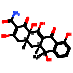 C[C@]1(O)c2cccc(O)c2C(=O)C2=C(O)[C@]3(O)C(=O)C(C(N)=O)=C(O)C[C@@H]3C[C@@H]21